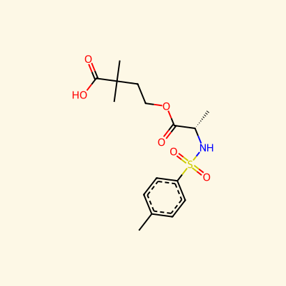 Cc1ccc(S(=O)(=O)N[C@@H](C)C(=O)OCCC(C)(C)C(=O)O)cc1